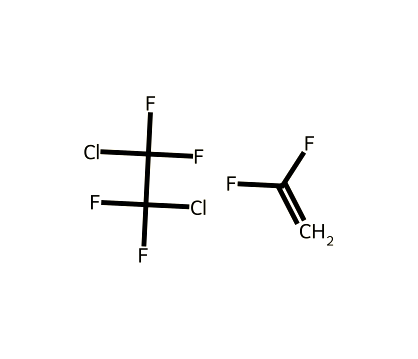 C=C(F)F.FC(F)(Cl)C(F)(F)Cl